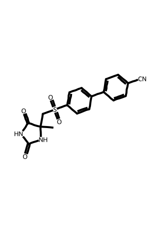 CC1(CS(=O)(=O)c2ccc(-c3ccc(C#N)cc3)cc2)NC(=O)NC1=O